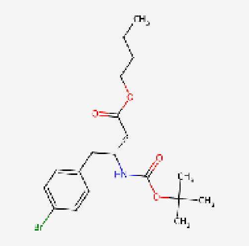 CCCCOC(=O)C[C@@H](Cc1ccc(Br)cc1)NC(=O)OC(C)(C)C